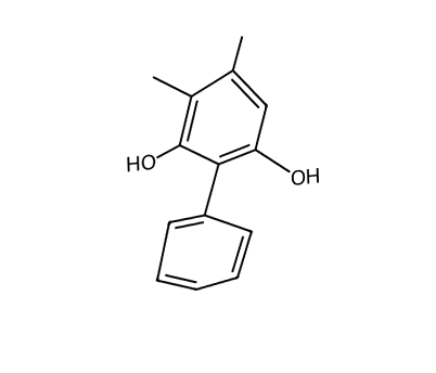 Cc1cc(O)c(-c2ccccc2)c(O)c1C